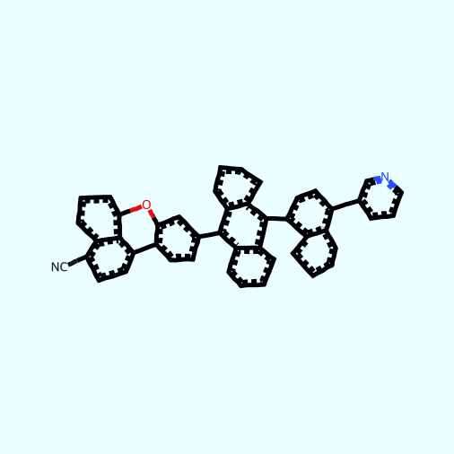 N#Cc1ccc2c3c(cccc13)Oc1cc(-c3c4ccccc4c(-c4ccc(-c5cccnc5)c5ccccc45)c4ccccc34)ccc1-2